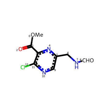 COC(=O)c1nc(CNC=O)cnc1Cl